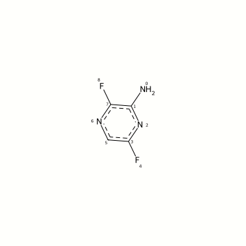 Nc1nc(F)cnc1F